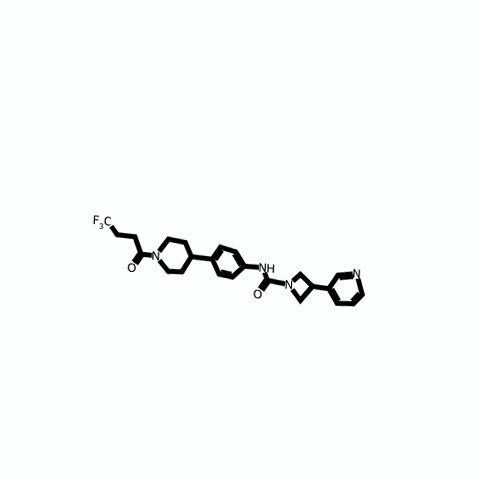 O=C(CCC(F)(F)F)N1CCC(c2ccc(NC(=O)N3CC(c4cccnc4)C3)cc2)CC1